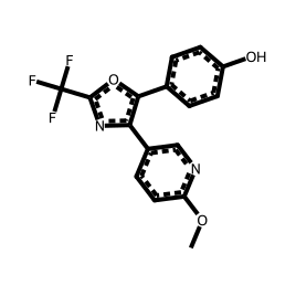 COc1ccc(-c2nc(C(F)(F)F)oc2-c2ccc(O)cc2)cn1